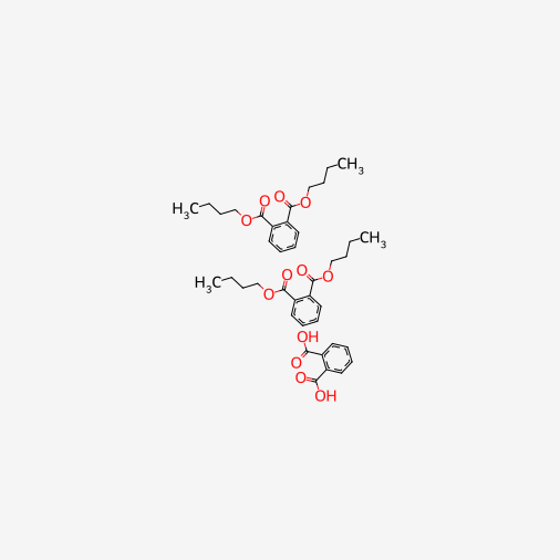 CCCCOC(=O)c1ccccc1C(=O)OCCCC.CCCCOC(=O)c1ccccc1C(=O)OCCCC.O=C(O)c1ccccc1C(=O)O